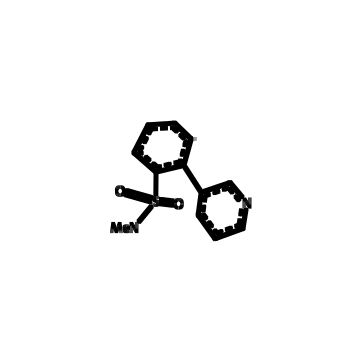 CNS(=O)(=O)c1ccc[c]c1-c1cccnc1